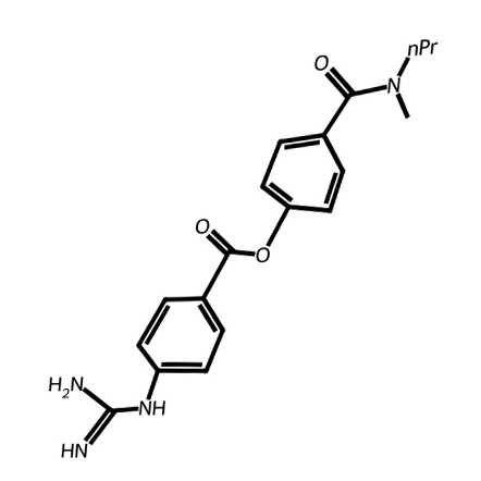 CCCN(C)C(=O)c1ccc(OC(=O)c2ccc(NC(=N)N)cc2)cc1